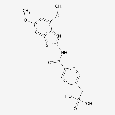 COc1cc(OC)c2nc(NC(=O)c3ccc(CP(=O)(O)O)cc3)sc2c1